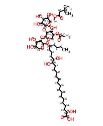 CCCC[C@@H](CCC[C@H](O)[C@@H](O)CCCCCCCCCCCCCC[C@H](O)C(=O)O)OC1OC[C@H](O)[C@@H](O)[C@@H]1O[C@H]1OC[C@H](OC(C)=O)[C@@H](O)[C@@H]1O[C@H]1O[C@@H](COC(=O)CC(C)C)[C@H](O)[C@@H](O)[C@@H]1O